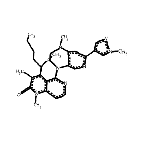 CCCCC(CC)c1c(C)c(=O)n(C)c2ccnc(N3CCN(C)c4cc(-c5cnn(C)c5)ncc43)c12